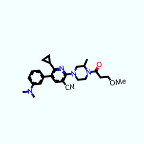 COCCC(=O)N1CCN(c2nc(C3CC3)c(-c3cccc(N(C)C)c3)cc2C#N)CC1C